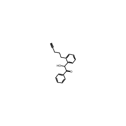 C#CCCCc1ccccc1C(O)C(=O)c1ccccc1